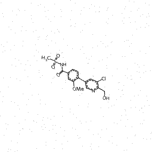 COc1cc(C(=O)NS(C)(=O)=O)ccc1-c1cnc(CO)c(Cl)c1